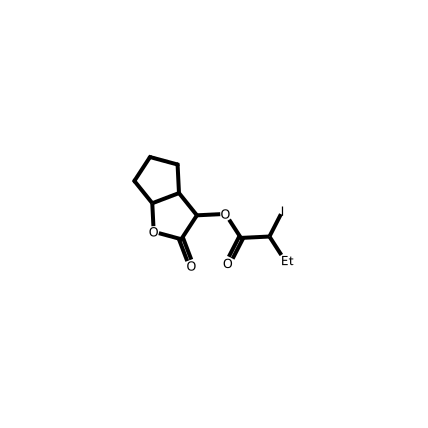 CCC(I)C(=O)OC1C(=O)OC2CCCC21